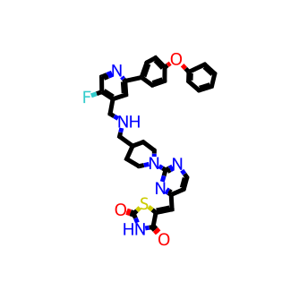 O=C1NC(=O)C(=Cc2ccnc(N3CCC(CNCc4cc(-c5ccc(Oc6ccccc6)cc5)ncc4F)CC3)n2)S1